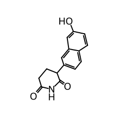 O=C1CCC(c2ccc3ccc(O)cc3c2)C(=O)N1